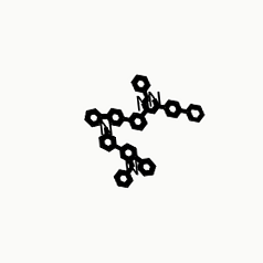 C1=CC(c2ccc(-c3cc(-c4cccc(-c5ccc6c7ccccc7n(-c7cccc(-c8ccc9c%10ccccc%10n(-c%10ccccc%10)c9c8)c7)c6c5)c4)nc(-c4ccccc4)n3)cc2)=CCC1